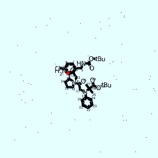 CC(C)(C)OC(=O)NCc1ccc(Cl)cc1C[N+]1(C(=O)CN(c2ccccc2)C(C)(C)C(=O)OC(C)(C)C)CCC[C@H]1C(N)=O